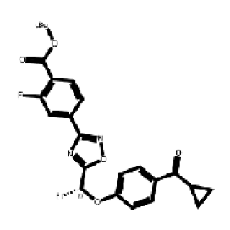 CC[C@@H](Oc1ccc(C(=O)C2CC2)cc1)c1nc(-c2ccc(C(=O)OC(C)(C)C)c(F)c2)no1